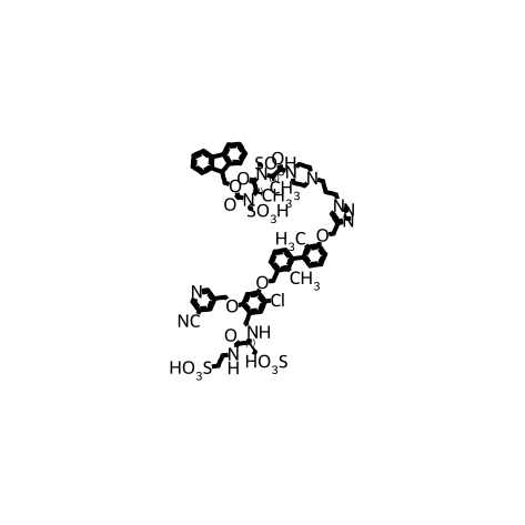 Cc1c(COc2cc(OCc3cncc(C#N)c3)c(CN[C@@H](CS(=O)(=O)O)C(=O)NCCS(=O)(=O)O)cc2Cl)cccc1-c1cccc(OCc2cn(CCCN3CCN(C(=O)[C@@H](C)N(C(=O)[C@@H](C)N(C(=O)OCC4c5ccccc5-c5ccccc54)S(=O)(=O)O)S(=O)(=O)O)CC3)nn2)c1C